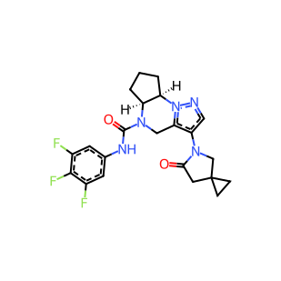 O=C1CC2(CC2)CN1c1cnn2c1CN(C(=O)Nc1cc(F)c(F)c(F)c1)[C@H]1CCC[C@H]12